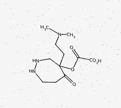 CN(C)CCC1(OC(=O)C(=O)O)CNNCCC1=O